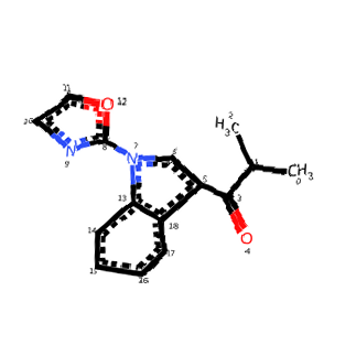 CC(C)C(=O)c1cn(-c2ncco2)c2ccccc12